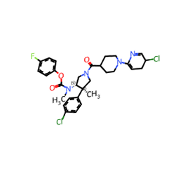 CN(C(=O)Oc1ccc(F)cc1)[C@@H]1CN(C(=O)C2CCN(C3=CCC(Cl)C=N3)CC2)C[C@@]1(C)c1ccc(Cl)cc1